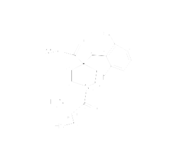 COC(=O)C1(Cc2c(Cl)cccc2Cl)CCN(C(=O)[C@@H](N)CS)CC1